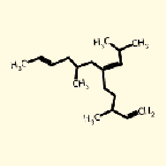 C=CC(C)CCC(=CC(C)C)CC(C)CC=CC